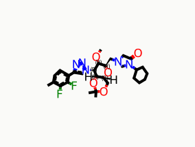 CO[C@@H]1[C@@H](n2cc(-c3ccc(C)c(F)c3F)nn2)[C@H]2OC(C)(C)OC[C@H]2O[C@@H]1CN1CC(=O)N(C2CCCCC2)C1